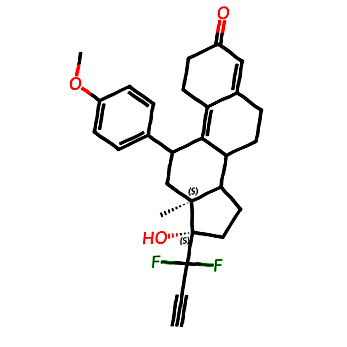 C#CC(F)(F)[C@]1(O)CCC2C3CCC4=CC(=O)CCC4=C3C(c3ccc(OC)cc3)C[C@@]21C